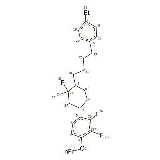 CCCOc1ccc(C2CCC(CCCCc3ccc(CC)cc3)C(F)(F)C2)c(F)c1F